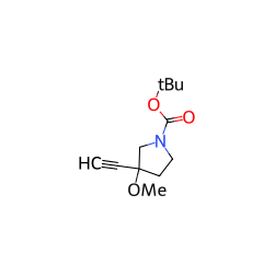 C#CC1(OC)CCN(C(=O)OC(C)(C)C)C1